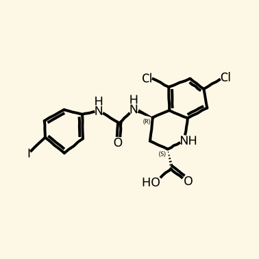 O=C(Nc1ccc(I)cc1)N[C@@H]1C[C@@H](C(=O)O)Nc2cc(Cl)cc(Cl)c21